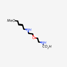 COCC=CCNCCOCCNC(=O)O